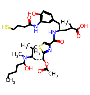 CCCCC(O)N(C)[C@H](C[C@@H](OC(C)=O)c1nc(C(=O)N[C@@H](Cc2ccc(O)c(NC(=O)CCCS)c2)CC(C)C(=O)O)cs1)C(C)C